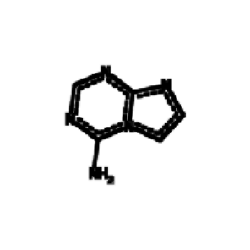 Nc1ncnc2nccn12